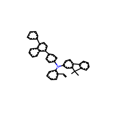 C=Cc1ccccc1N(c1ccc(-c2ccc(-c3ccccc3)c3ccccc23)cc1)c1ccc2c(c1)C(C)(C)c1ccccc1-2